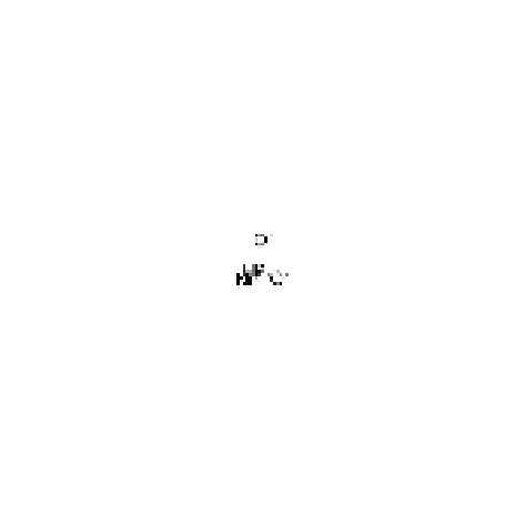 [Ni+2].[O-]P[O-]